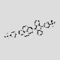 FC(F)(F)c1ccc(-c2cc3ccc4cc(-c5c6ccccc6c(-c6ccc(C(F)(F)F)nc6)c6ccccc56)cc5ccc(c2)c3c45)cc1